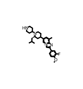 COc1ccc(-c2cn3cc(C4CCN(C5CCNCC5)[C@H](CC(C)C)C4)cc(C)c3n2)cc1F